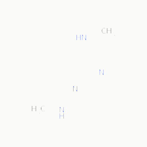 CNc1cn(NC)cn1